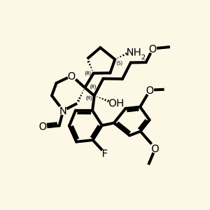 COCCCC[C@@](O)(c1cccc(F)c1-c1cc(OC)cc(OC)c1)[C@@]1([C@@H]2CC[C@H](N)C2)CN(C=O)CCO1